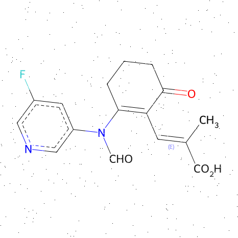 C/C(=C\C1=C(N(C=O)c2cncc(F)c2)CCCC1=O)C(=O)O